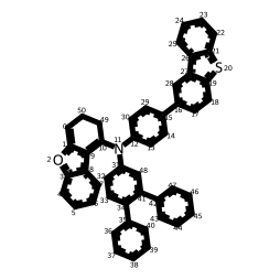 C1=c2oc3ccccc3c2=C(N(c2ccc(-c3ccc4sc5ccccc5c4c3)cc2)c2ccc(-c3ccccc3)c(-c3ccccc3)c2)CC1